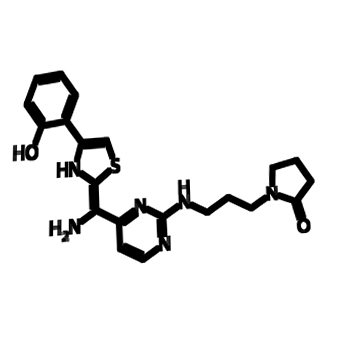 N/C(=C1\NC(c2ccccc2O)=CS1)c1ccnc(NCCCN2CCCC2=O)n1